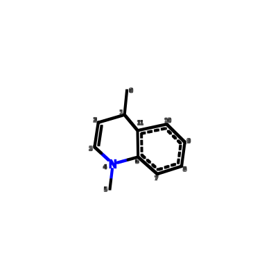 CC1C=CN(C)c2ccccc21